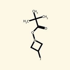 CC(C)(C)C(=O)ON1CC(I)C1